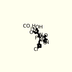 O=C(O)Cn1c(O)cc(-c2nn(C(=O)c3cnoc3)c(NCc3ccc(Cl)s3)c2F)cc1=O